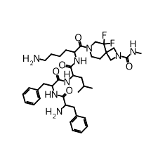 CNC(=O)N1CC2(CCN(C(=O)C(CCCCN)NC(=O)C(CC(C)C)NC(=O)C(Cc3ccccc3)NC(=O)C(N)Cc3ccccc3)CC2(F)F)C1